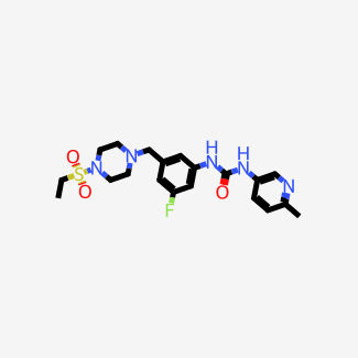 CCS(=O)(=O)N1CCN(Cc2cc(F)cc(NC(=O)Nc3ccc(C)nc3)c2)CC1